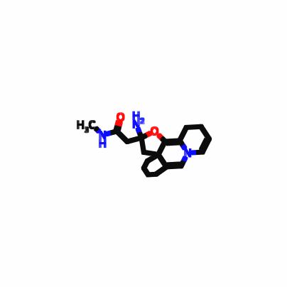 CNC(=O)CC1(N)CC23CCCCC2=CN2C=CCCC2=C3O1